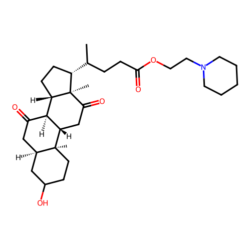 CC(CCC(=O)OCCN1CCCCC1)[C@H]1CC[C@H]2[C@@H]3C(=O)C[C@@H]4CC(O)CC[C@]4(C)[C@H]3CC(=O)[C@]12C